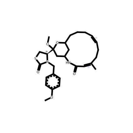 COc1ccc(CN2C(=O)SC[C@H]2C2(OC)CC3CC(CCC/C=C\CC/C(C)=C\C(=O)N3)O2)cc1